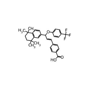 CC1(C)CCC(C)(C)c2cc(C(/C=C/c3ccc(C(=O)O)cc3)Oc3ccc(C(F)(F)F)cc3)ccc21